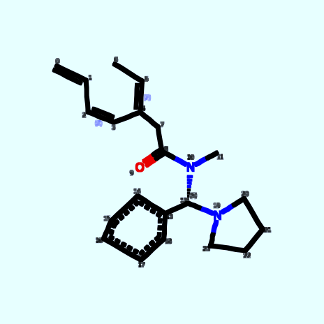 C=C/C=C\C(=C/C)CC(=O)N(C)[C@@H](c1ccccc1)N1CCCC1